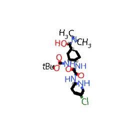 CN(C)[C@H](O)[C@H]1CC[C@H](NC(=O)C(=O)N[C@@H]2CC=C(Cl)CN2)[C@H](NC(=O)OC(C)(C)C)C1